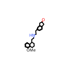 COc1cccc2c1CCCC2CCNCCc1ccc2c(c1)CC(=O)C2